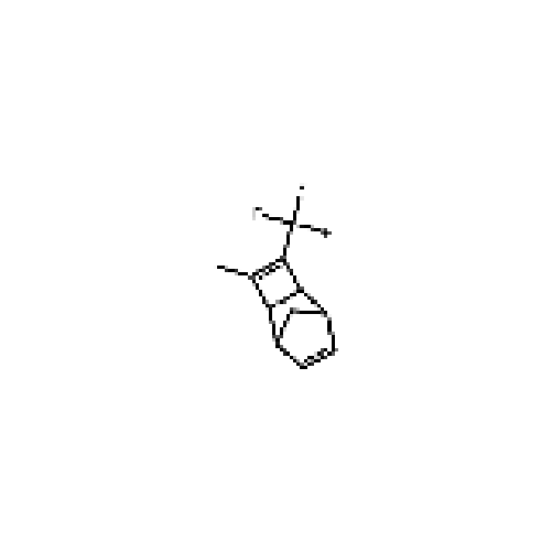 CC1=C(C(F)(F)F)C2C3C=CC(C3)C12